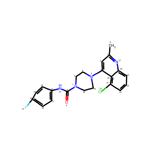 Cc1cc(N2CCN(C(=O)Nc3ccc(F)cc3)CC2)c2c(Cl)cccc2n1